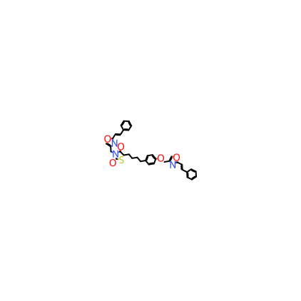 O=C1SC(CCCCc2ccc(OCc3coc(C=Cc4ccccc4)n3)cc2)C(=O)N1Cc1coc(C=Cc2ccccc2)n1